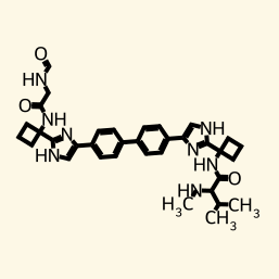 CNC(C(=O)NC1(c2nc(-c3ccc(-c4ccc(-c5c[nH]c(C6(NC(=O)CNC=O)CCC6)n5)cc4)cc3)c[nH]2)CCC1)C(C)C